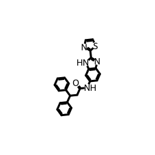 O=C(CC(c1ccccc1)c1ccccc1)Nc1ccc2nc(-c3nccs3)[nH]c2c1